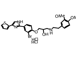 COc1ccc(CCNCC(O)COc2ccc(-c3nc(-c4cccs4)c[nH]3)cc2Br)cc1OC.Cl.Cl